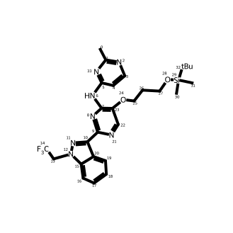 Cc1nccc(Nc2nc(-c3nn(CC(F)(F)F)c4ccccc34)ncc2OCCCO[Si](C)(C)C(C)(C)C)n1